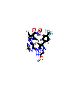 COCCn1nc(-c2ccc(C(F)F)cc2)c(C)c1Nc1cc(-n2nc(C)c(C(=O)N=O)c2C)ncn1